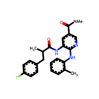 CNC(=O)c1cnc(Nc2ccccc2C)c(NC(=O)C(C)Cc2ccc(F)cc2)c1